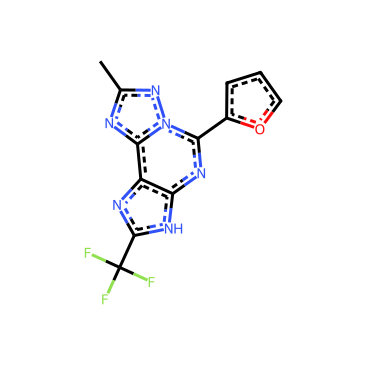 Cc1nc2c3nc(C(F)(F)F)[nH]c3nc(-c3ccco3)n2n1